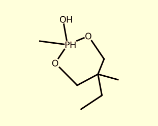 CCC1(C)CO[PH](C)(O)OC1